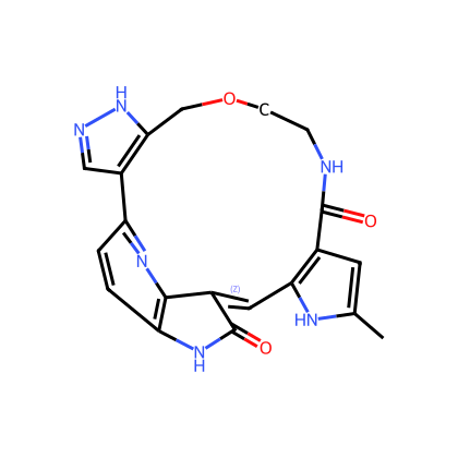 Cc1cc2c([nH]1)/C=C1\C(=O)Nc3ccc(nc31)-c1cn[nH]c1COCCNC2=O